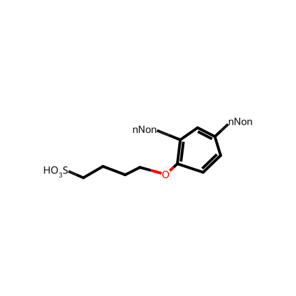 CCCCCCCCCc1ccc(OCCCCS(=O)(=O)O)c(CCCCCCCCC)c1